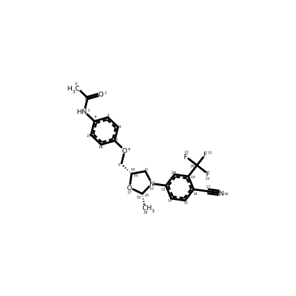 CC(=O)Nc1ccc(OC[C@@H]2CN(c3ccc(C#N)c(C(F)(F)F)c3)[C@H](C)O2)cc1